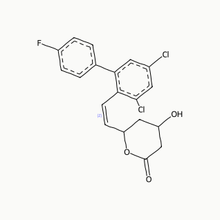 O=C1CC(O)CC(/C=C\c2c(Cl)cc(Cl)cc2-c2ccc(F)cc2)O1